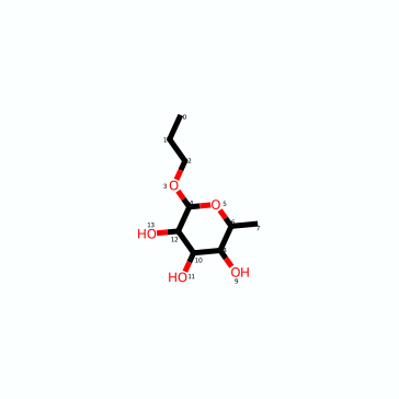 CCCOC1OC(C)C(O)C(O)C1O